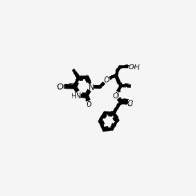 Cc1cn(COC(CO)C(C)OC(=O)c2ccccc2)c(=O)[nH]c1=O